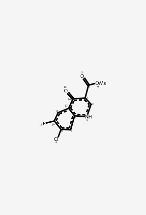 COC(=O)c1c[nH]c2cc(Cl)c(F)cc2c1=O